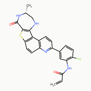 C=CC(=O)Nc1cc(-c2ccc3c(ccc4sc5c(c43)NC[C@@H](C)NC5=O)n2)ccc1F